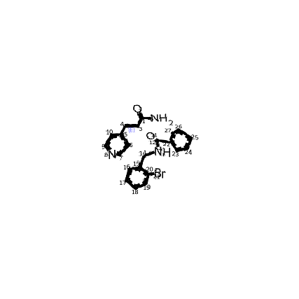 NC(=O)/C=C/c1ccncc1.O=C(NCc1ccccc1Br)c1ccccc1